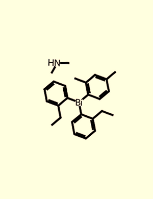 CCc1cccc[c]1[Bi]([c]1ccc(C)cc1C)[c]1ccccc1CC.CNC